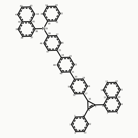 c1ccc(C2=C(c3cccc4ccccc34)C2c2ccc(-c3ccc(-c4ccc(N(c5ccccc5)c5cccc6ccccc56)cc4)cc3)cc2)cc1